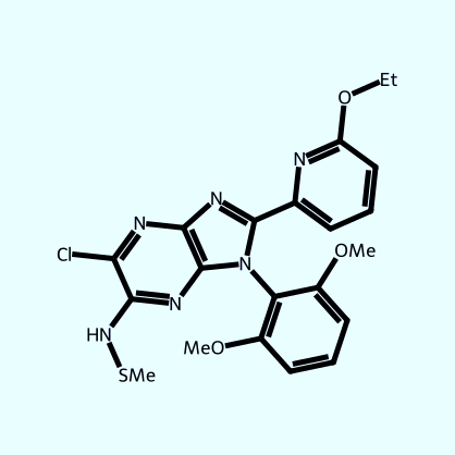 CCOc1cccc(-c2nc3nc(Cl)c(NSC)nc3n2-c2c(OC)cccc2OC)n1